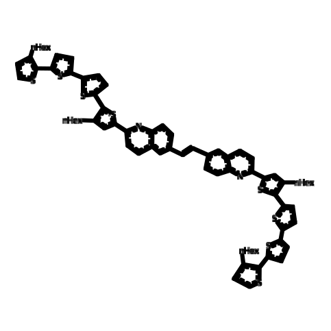 CCCCCCc1ccsc1-c1ccc(-c2ccc(-c3sc(-c4ccc5cc(/C=C/c6ccc7nc(-c8cc(CCCCCC)c(-c9ccc(-c%10ccc(-c%11sccc%11CCCCCC)s%10)s9)s8)ccc7c6)ccc5n4)cc3CCCCCC)s2)s1